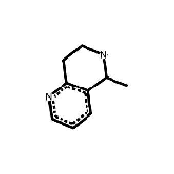 CC1[N]CCc2ncccc21